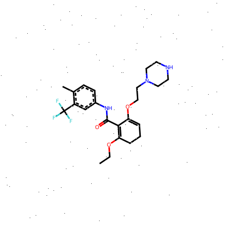 CCOC1=C(C(=O)Nc2ccc(C)c(C(F)(F)F)c2)C(OCCN2CCNCC2)=CCC1